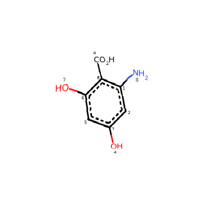 Nc1cc(O)cc(O)c1C(=O)O